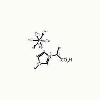 CC(C(=O)O)[n+]1ccn(C)c1.F[P-](F)(F)(F)(F)F